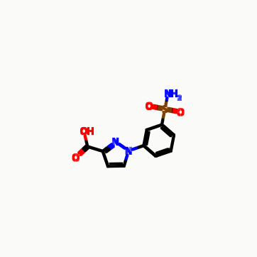 NS(=O)(=O)c1cccc(-n2ccc(C(=O)O)n2)c1